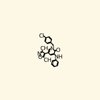 Cc1noc(C)c1-c1cc(Nc2ccccc2)c(=O)n(Cc2ccc(Cl)cc2)c1